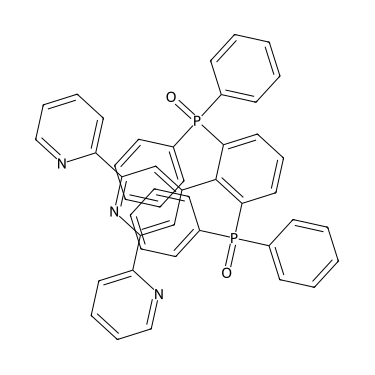 O=P(c1ccccc1)(c1ccccc1)c1cccc(P(=O)(c2ccccc2)c2ccccc2)c1-c1cc(-c2ccccn2)nc(-c2ccccn2)c1